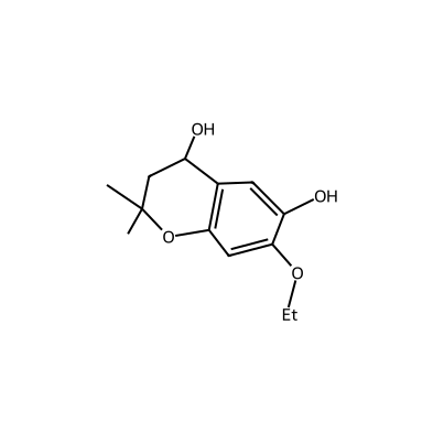 CCOc1cc2c(cc1O)C(O)CC(C)(C)O2